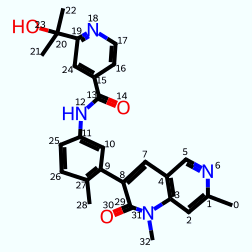 Cc1cc2c(cn1)cc(-c1cc(NC(=O)c3ccnc(C(C)(C)O)c3)ccc1C)c(=O)n2C